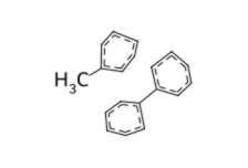 Cc1ccccc1.c1ccc(-c2ccccc2)cc1